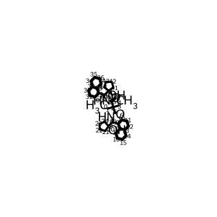 CCC(CC)(C(=O)N[C@@H](c1cccc2ccccc12)C1(O)CCCC1)C(=O)N[C@@H](c1cccc2ccccc12)C1(O)CCCC1